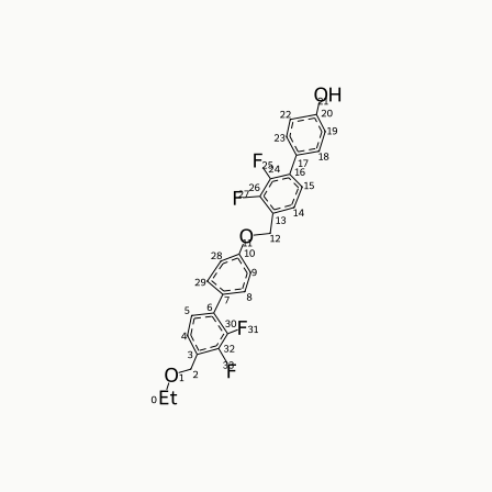 CCOCc1ccc(-c2ccc(OCc3ccc(-c4ccc(O)cc4)c(F)c3F)cc2)c(F)c1F